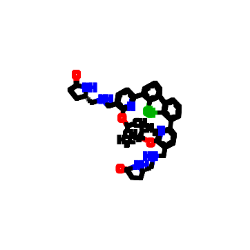 CC(C)Oc1nc(-c2cccc(-c3cccc(-c4ccc(CNC[C@@H]5CCC(=O)N5)c(OC(C)C)n4)c3Cl)c2Cl)ccc1CNC[C@@H]1CCC(=O)N1